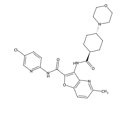 Cc1ccc2oc(C(=O)Nc3ccc(Cl)cn3)c(NC(=O)[C@H]3CC[C@H](N4CCOCC4)CC3)c2n1